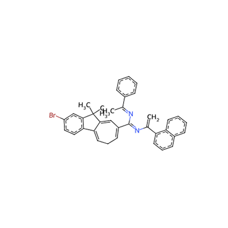 C=C(/N=C(\N=C(/C)c1ccccc1)C1=CCC=C2C(=C1)C(C)(C)c1cc(Br)ccc12)c1cccc2ccccc12